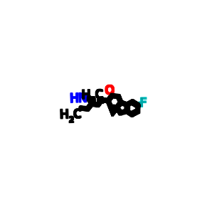 C=CCC(C=N)C[C@@H](C)C1C(=O)CC2c3cc(F)ccc3CC23CC13